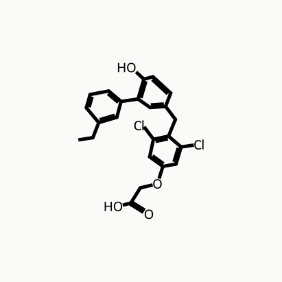 CCc1cccc(-c2cc(Cc3c(Cl)cc(OCC(=O)O)cc3Cl)ccc2O)c1